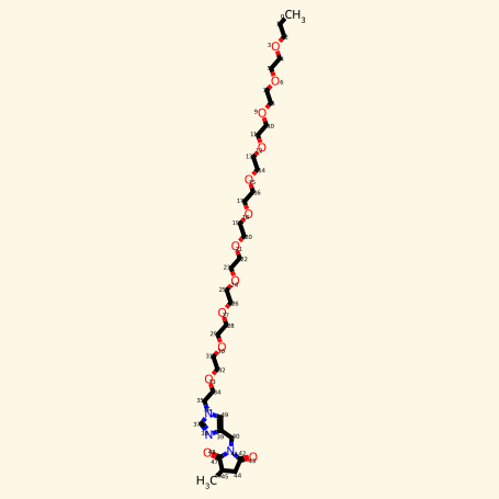 CCCOCCOCCOCCOCCOCCOCCOCCOCCOCCOCCOCCn1cnc(CN2C(=O)CC(C)C2=O)c1